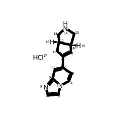 C1=C(c2ccn3ccnc3c2)C[C@@H]2CNC[C@H]12.Cl